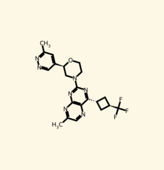 Cc1cc([C@@H]2CN(c3nc4nc(C)cnc4c([C@H]4C[C@H](C(F)(F)F)C4)n3)CCO2)cnn1